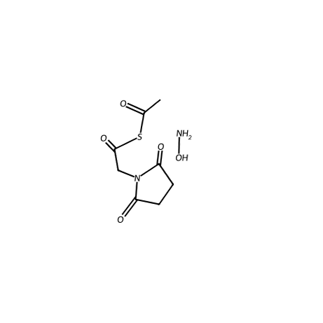 CC(=O)SC(=O)CN1C(=O)CCC1=O.NO